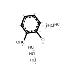 Cl.Cl.Cl.Cl.Cl.O=Cc1ccccc1Cl.P